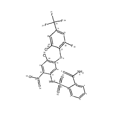 NC(=O)c1ccccc1S(=O)(=O)Nc1cc(Oc2c(F)cc(C(F)(F)F)cc2Cl)c(Cl)cc1[N+](=O)[O-]